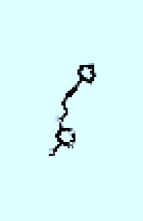 Clc1cc(NCCC#Cc2ccccc2)ncn1